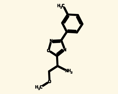 COCC(N)c1nc(-c2cccc(C)c2)no1